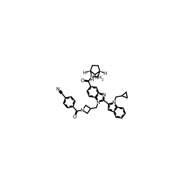 N#Cc1ccc(C(=O)N2CC(Cn3c(-c4cc5ccccc5n4CC4CC4)nc4cc(C(=O)N5C[C@H]6CC[C@@H]5[C@@H]6N)ccc43)C2)cc1